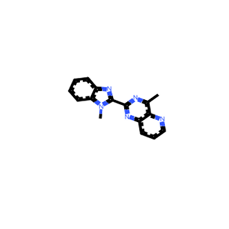 Cc1nc(-c2nc3ccccc3n2C)nc2cccnc12